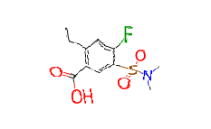 CCc1cc(F)c(S(=O)(=O)N(C)C)cc1C(=O)O